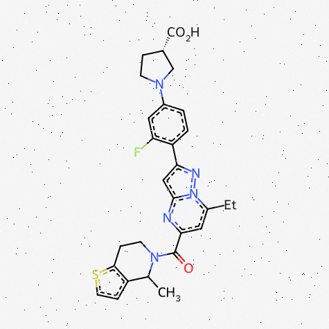 CCc1cc(C(=O)N2CCc3sccc3C2C)nc2cc(-c3ccc(N4CC[C@H](C(=O)O)C4)cc3F)nn12